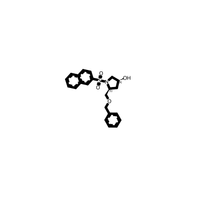 O=S(=O)(c1ccc2ccccc2c1)N1C[C@H](O)C[C@H]1COCc1ccccc1